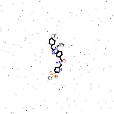 CCS(=O)(=O)c1ccc(CNC(=O)c2ccc3c(c2)nc(CC2CCC(C(F)(F)F)CC2)n3CC(C)C)nc1